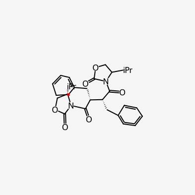 CC(C)C1COC(=O)N1C(=O)[C@H](CC1=C=C=CC=C1)[C@@H](CC1=CC=CCC1)C(=O)N1C(=O)OC[C@@H]1C(C)C